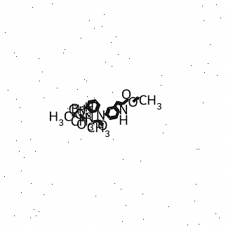 CCOC(=O)c1cc2cc(N(C(=O)C(C)NC(=O)OC(C)(C)C)c3cccc(Br)c3)ccc2[nH]1